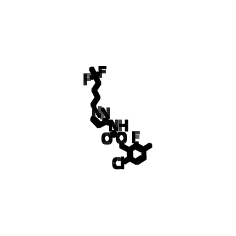 Cc1ccc(Cl)c(COC(=O)Nc2ccn(CCCCC(C)(F)F)n2)c1F